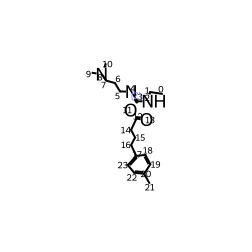 CCN/C(=N/CCCN(C)C)OC(=O)CCCc1ccc(C)cc1